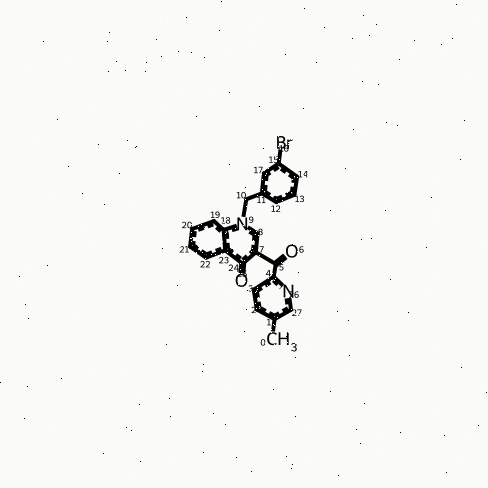 Cc1ccc(C(=O)c2cn(Cc3cccc(Br)c3)c3ccccc3c2=O)nc1